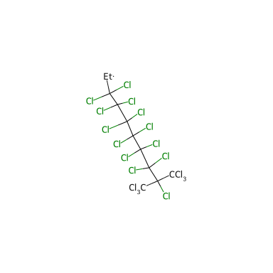 C[CH]C(Cl)(Cl)C(Cl)(Cl)C(Cl)(Cl)C(Cl)(Cl)C(Cl)(Cl)C(Cl)(Cl)C(Cl)(C(Cl)(Cl)Cl)C(Cl)(Cl)Cl